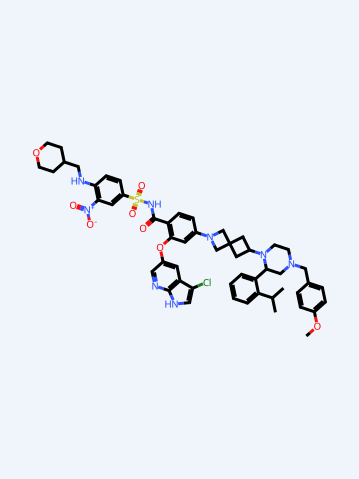 COc1ccc(CN2CCN(C3CC4(C3)CN(c3ccc(C(=O)NS(=O)(=O)c5ccc(NCC6CCOCC6)c([N+](=O)[O-])c5)c(Oc5cnc6[nH]cc(Cl)c6c5)c3)C4)C(c3ccccc3C(C)C)C2)cc1